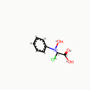 O=C(O)C(Cl)N(O)c1ccccc1